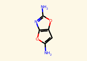 Nc1cc2oc(N)nc2o1